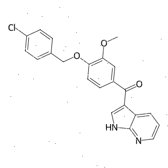 COc1cc(C(=O)c2c[nH]c3ncccc23)ccc1OCc1ccc(Cl)cc1